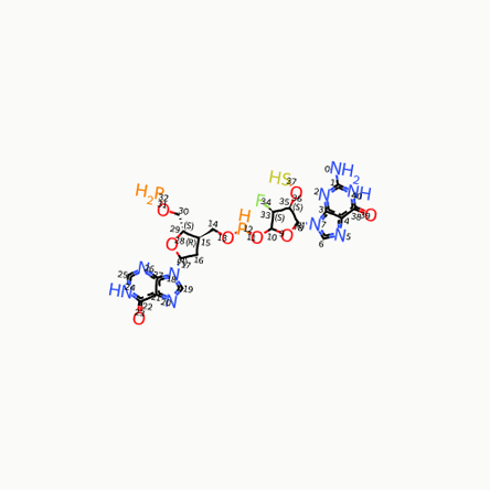 Nc1nc2c(ncn2[C@@H]2OC(OPOC[C@H]3C[C@H](n4cnc5c(=O)[nH]cnc54)O[C@@H]3COP)[C@@H](F)[C@H]2OS)c(=O)[nH]1